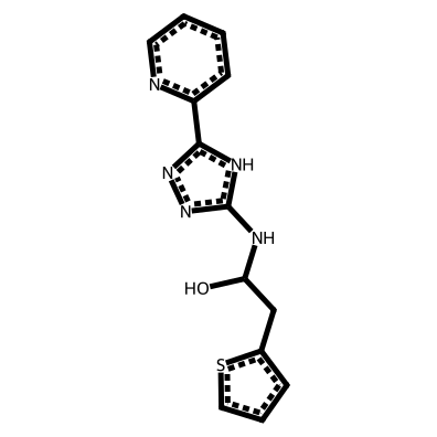 OC(Cc1cccs1)Nc1nnc(-c2ccccn2)[nH]1